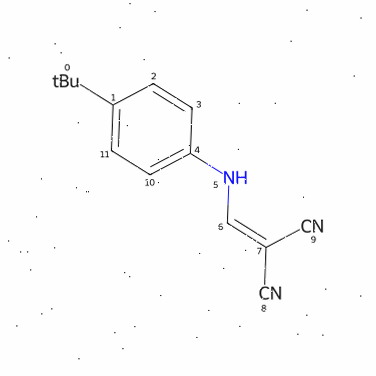 CC(C)(C)c1ccc(NC=C(C#N)C#N)cc1